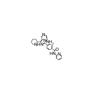 N[N+]12C=CN=CC1=C(C1CCCCN1)N=C2c1ccc(C(=O)Nc2ccccn2)cc1